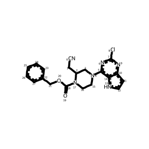 N#CCC1CN(c2nc(Cl)nc3cc[nH]c23)CCN1C(=O)OCc1ccccc1